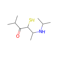 CC(C)NC(C)C(S)C(=O)C(C)C